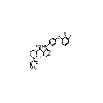 C=CC(=O)N1CCCC(C(=N)c2c(F)cncc2Nc2ccc(Oc3cccc(F)c3F)cc2)C1